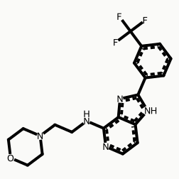 FC(F)(F)c1cccc(-c2nc3c(NCCN4CCOCC4)nccc3[nH]2)c1